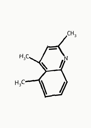 Cc1[c]c(C)c2c(C)cccc2n1